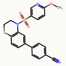 COc1ccc(S(=O)(=O)N2CCSc3ccc(-c4ccc(C#N)cc4)cc32)cn1